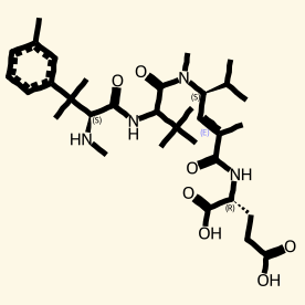 CN[C@H](C(=O)NC(C(=O)N(C)[C@H](/C=C(\C)C(=O)N[C@H](CCC(=O)O)C(=O)O)C(C)C)C(C)(C)C)C(C)(C)c1cccc(C)c1